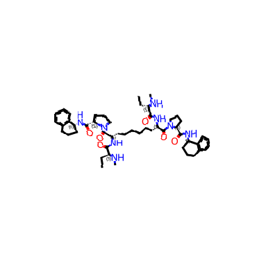 CC[C@H](NC)C(=O)N[C@@H](CCCCCC[C@H](NC(=O)[C@H](CC)NC)C(=O)N1CCC[C@H]1C(=O)N[C@@H]1CCCc2ccccc21)C(=O)N1CCC[C@H]1C(=O)N[C@@H]1CCCc2ccccc21